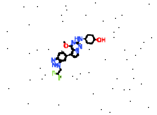 COc1nc(N[C@H]2CC[C@H](O)CC2)nn2ccc(-c3ccc4nnn(CC(F)F)c4c3)c12